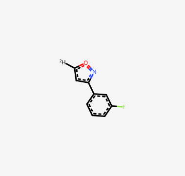 [2H]c1cc(-c2cccc(F)c2)no1